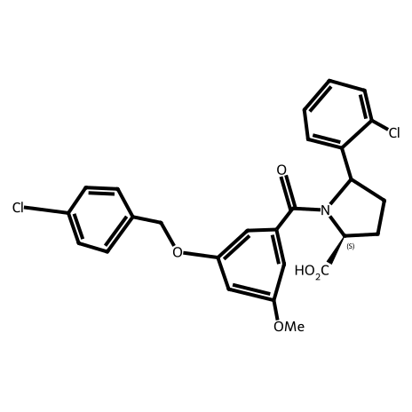 COc1cc(OCc2ccc(Cl)cc2)cc(C(=O)N2C(c3ccccc3Cl)CC[C@H]2C(=O)O)c1